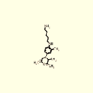 Cc1cc(N2C[C@H](C)O[C@H](C)C2C)ccc1NCCCCCN